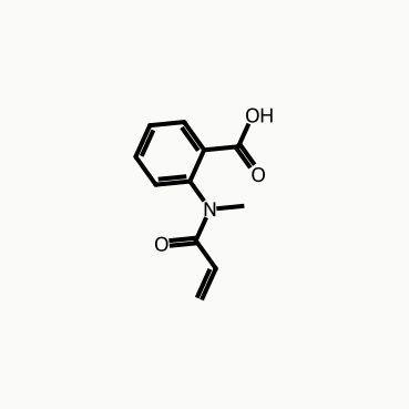 C=CC(=O)N(C)c1ccccc1C(=O)O